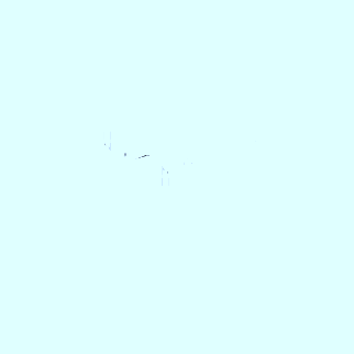 CC1CCN[C@@H](C(=O)NOCc2ccccc2)C1